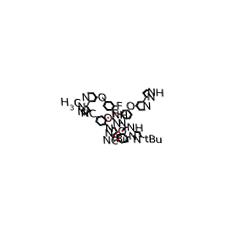 Cn1nccc1-c1cc(Oc2ccc(NC(=O)N(c3cc(C(C)(C)C)nn3-c3ccc(C#N)cc3)N(C(=O)Nc3cc(C(C)(C)C)nn3-c3ccc(C#N)cc3)c3ccc(Oc4ccnc(-c5cc[nH]n5)c4)cc3F)c(F)c2)ccn1